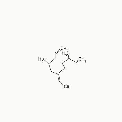 C=CCC(C)CC(=CC(C)(C)C)CCC(C)C=C